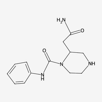 NC(=O)CC1CNCCN1C(=O)Nc1ccccc1